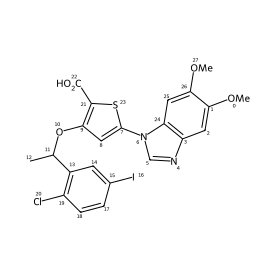 COc1cc2ncn(-c3cc(OC(C)c4cc(I)ccc4Cl)c(C(=O)O)s3)c2cc1OC